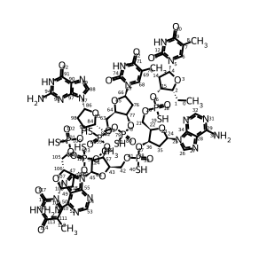 CC[C@H]1O[C@@H](n2cc(C)c(=O)[nH]c2=O)C[C@H]1OP(=O)(S)OC[C@H]1O[C@@H](n2cnc3c(N)ncnc32)C[C@H]1OP(=O)(S)OC[C@H]1O[C@@H](n2cnc3c(N)ncnc32)C[C@H]1OP(=O)(S)OC[C@H]1O[C@@H](n2cc(C)c(=O)[nH]c2=O)C[C@H]1OP(=O)(S)OC[C@H]1O[C@@H](n2cnc3c(=O)[nH]c(N)nc32)C[C@H]1OP(=O)(S)OC[C@H]1O[C@@H](n2cc(C)c(=O)[nH]c2=O)C[C@H]1OP(=O)(S)OC